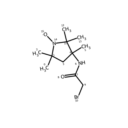 CC1(C)CC(C)(NC(=O)CBr)C(C)(C)N1[O]